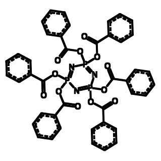 O=C(OP1(OC(=O)c2ccccc2)=NP(OC(=O)c2ccccc2)(OC(=O)c2ccccc2)=NP(OC(=O)c2ccccc2)(OC(=O)c2ccccc2)=N1)c1ccccc1